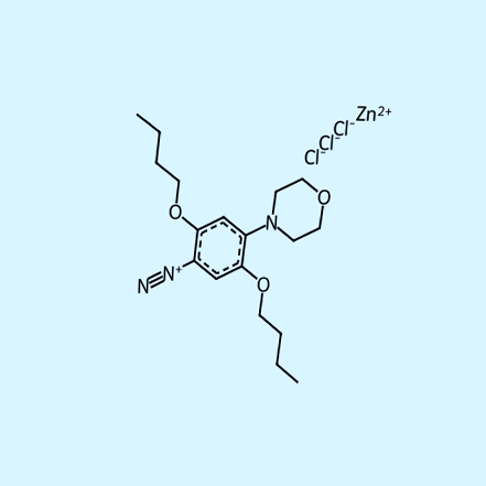 CCCCOc1cc(N2CCOCC2)c(OCCCC)cc1[N+]#N.[Cl-].[Cl-].[Cl-].[Zn+2]